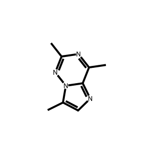 Cc1nc(C)c2ncc(C)n2n1